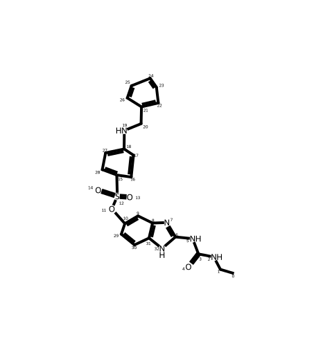 CCNC(=O)Nc1nc2cc(OS(=O)(=O)c3ccc(NCc4ccccc4)cc3)ccc2[nH]1